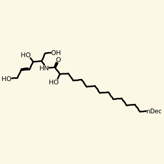 CCCCCCCCCCCCCCCCCCCCCCC(O)C(=O)NC(CO)C(O)/C=C/CO